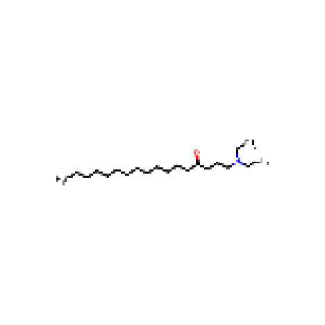 CCCCCCCCCCCCCC(=O)CCCN(CC)CC